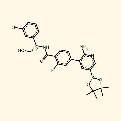 CC1(C)OB(c2cnc(N)c(-c3ccc(C(=O)N[C@H](CO)c4cccc(Cl)c4)c(F)c3)c2)OC1(C)C